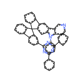 c1ccc(-c2nc(-c3ccccc3)nc(-c3ccc4c(c3)C3(c5ccccc5-4)c4ccccc4-c4cc5c6cnccc6n(-c6ccccc6)c5cc43)n2)cc1